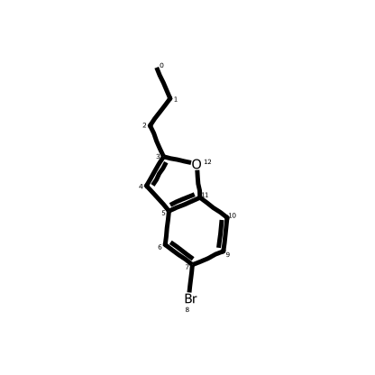 CCCc1cc2cc(Br)ccc2o1